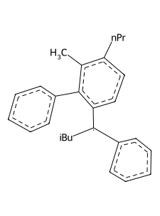 CCCc1ccc([C](c2ccccc2)C(C)CC)c(-c2ccccc2)c1C